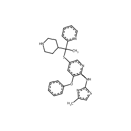 Cc1csc(Nc2ncc(SC(C)(c3ccccn3)C3CCNCC3)cc2Oc2ccccc2)n1